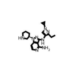 CCc1nn(C2CC2)cc1Nc1nn([C@@H]2CCCNC2)c2ccnc(N)c12